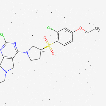 O=S(=O)(c1ccc(OCC(F)(F)F)cc1Cl)[C@H]1CCN(c2nc(Cl)nc3c2CN(CC(F)(F)F)C3)C1